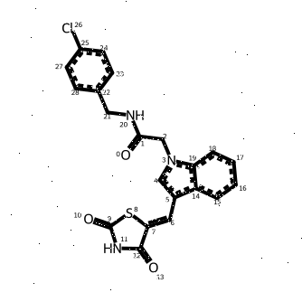 O=C(Cn1cc(/C=C2\SC(=O)NC2=O)c2ccccc21)NCc1ccc(Cl)cc1